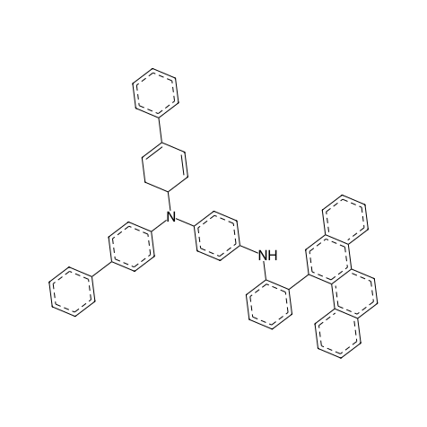 C1=CC(N(c2ccc(Nc3ccccc3-c3cc4ccccc4c4ccc5ccccc5c34)cc2)c2ccc(-c3ccccc3)cc2)CC=C1c1ccccc1